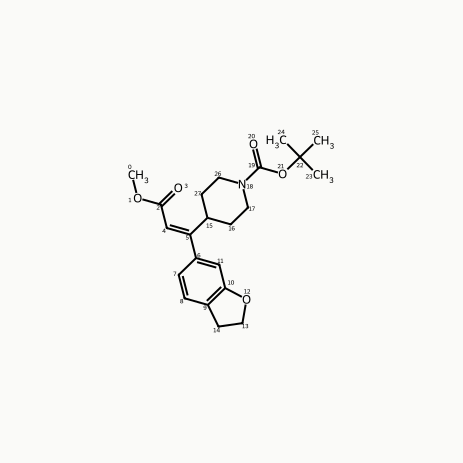 COC(=O)C=C(c1ccc2c(c1)OCC2)C1CCN(C(=O)OC(C)(C)C)CC1